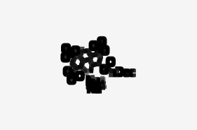 CCCCCCCCCCC(=O)Oc1cc(S(=O)(=O)[O-])c2ccc3c(S(=O)(=O)[O-])cc(S(=O)(=O)[O-])c4ccc1c2c43.[Na+].[Na+].[Na+]